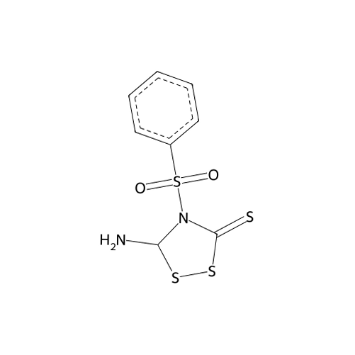 NC1SSC(=S)N1S(=O)(=O)c1ccccc1